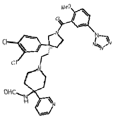 COc1ccc(-n2cnnn2)cc1C(=O)N1CC[C@@](CCN2CCC(NC=O)(c3cccnc3)CC2)(c2ccc(Cl)c(Cl)c2)C1